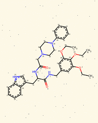 CCOc1cc(CNC(=O)C(Cc2c[nH]c3ccccc23)NC(=O)CN2CCN(c3ccccc3)CC2)cc(OCC)c1OCC